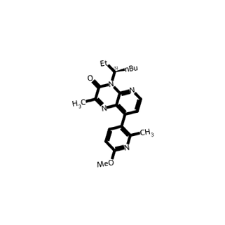 CCCC[C@H](CC)n1c(=O)c(C)nc2c(-c3ccc(OC)nc3C)ccnc21